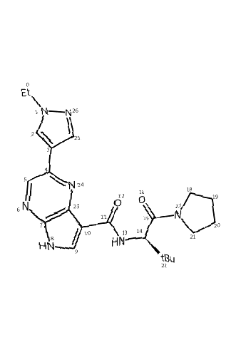 CCn1cc(-c2cnc3[nH]cc(C(=O)N[C@@H](C(=O)N4CCCC4)C(C)(C)C)c3n2)cn1